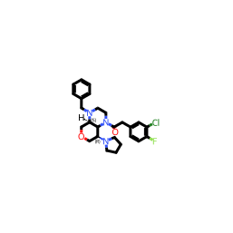 O=C(Cc1ccc(F)c(Cl)c1)N1CCN(Cc2ccccc2)[C@@H]2COC[C@H](N3CCCC3)C21